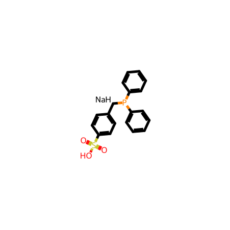 O=S(=O)(O)c1ccc(CP(c2ccccc2)c2ccccc2)cc1.[NaH]